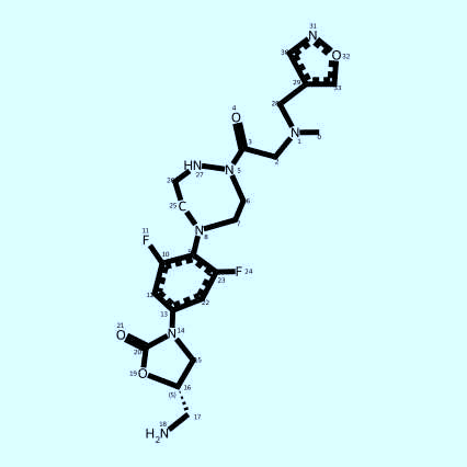 CN(CC(=O)N1CCN(c2c(F)cc(N3C[C@H](CN)OC3=O)cc2F)CCN1)Cc1cnoc1